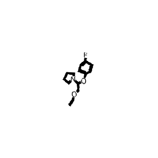 CCOCC(Oc1ccc(F)cc1)N1CCCC1